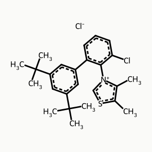 Cc1sc[n+](-c2c(Cl)cccc2-c2cc(C(C)(C)C)cc(C(C)(C)C)c2)c1C.[Cl-]